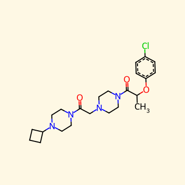 CC(Oc1ccc(Cl)cc1)C(=O)N1CCN(CC(=O)N2CCN(C3CCC3)CC2)CC1